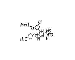 COCCOc1cc(Cl)cc(-c2nc(-c3noc(=O)[nH]3)nc3ncn(CC4CCC(C)CC4)c23)c1